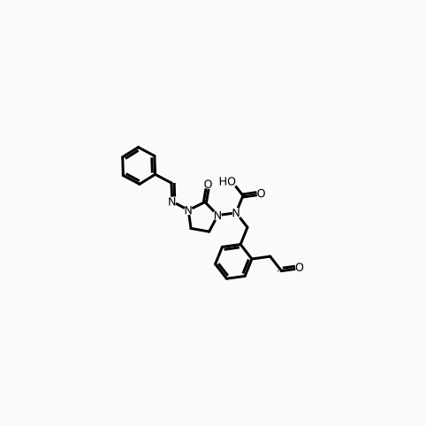 O=[C]Cc1ccccc1CN(C(=O)O)N1CCN(N=Cc2ccccc2)C1=O